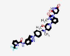 CO[C@H]1CN(c2cccc3c2n(C)c(=O)n3C2CCC(=O)NC2=O)CC[C@H]1N(C)C[C@H]1CC[C@H](n2cc3cc(NC(=O)c4cccc(C(F)(F)F)n4)ccc3n2)CC1